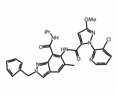 COc1cc(C(=O)Nc2c(C)cc3cn(Cc4ccccc4)nc3c2C(=O)NC(C)C)n(-c2ncccc2Cl)n1